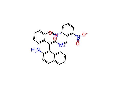 Nc1ccc2ccccc2c1-c1c(/N=C\c2c([N+](=O)[O-])cccc2[N+](=O)[O-])ccc2ccccc12